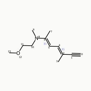 C#C/C(C)=C/C=C(\C)N(C)CCOC